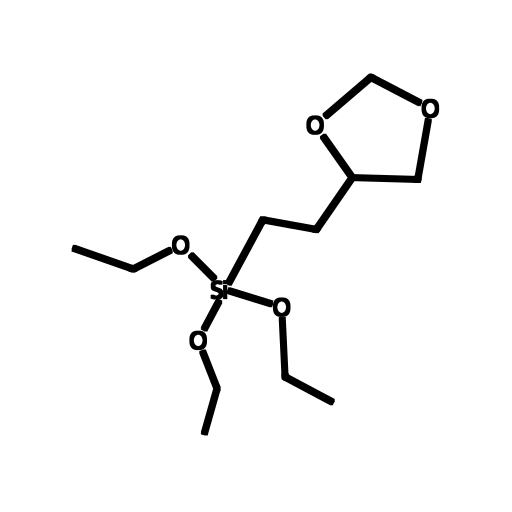 CCO[Si](CCC1COCO1)(OCC)OCC